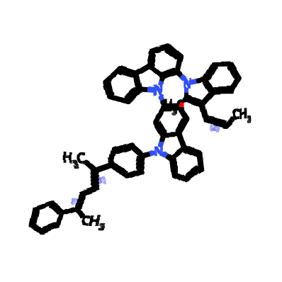 C/C=C\c1c(C)n(-c2cccc3c4ccccc4n(-c4ccc5c6ccccc6n(-c6ccc(/C(C)=C/C=C(\C)c7ccccc7)cc6)c5c4)c23)c2ccccc12